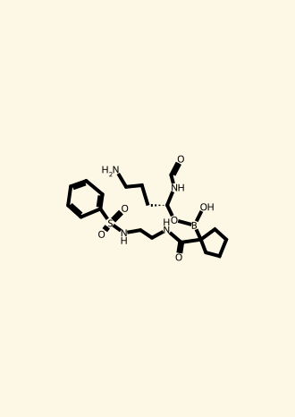 NCCC[C@H](NC=O)OB(O)C1(C(=O)NCCNS(=O)(=O)c2ccccc2)CCCC1